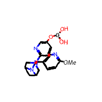 COc1ccc(CN2C3CC2CN(c2ccc(OB(O)O)cn2)C3)cn1